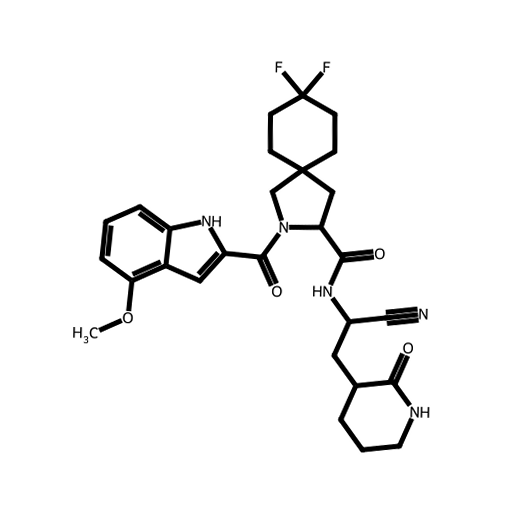 COc1cccc2[nH]c(C(=O)N3CC4(CCC(F)(F)CC4)CC3C(=O)NC(C#N)CC3CCCNC3=O)cc12